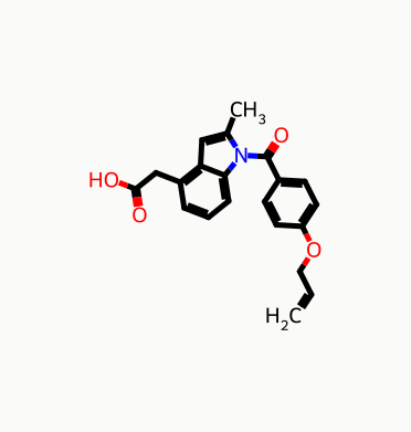 C=CCOc1ccc(C(=O)n2c(C)cc3c(CC(=O)O)cccc32)cc1